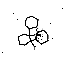 O=P(O)(O)C1(C2CCCCC2)CCCCC1(F)C1CCCCC1